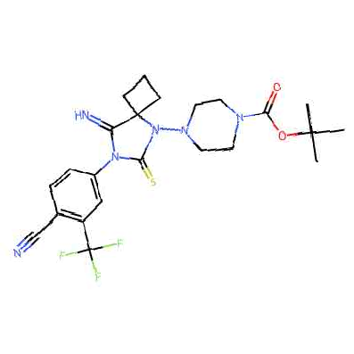 CC(C)(C)OC(=O)N1CCN(N2C(=S)N(c3ccc(C#N)c(C(F)(F)F)c3)C(=N)C23CCC3)CC1